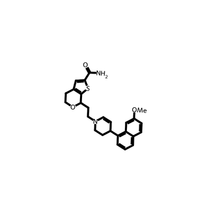 COc1ccc2cccc(C3C=CN(CCC4OCCc5cc(C(N)=O)sc54)CC3)c2c1